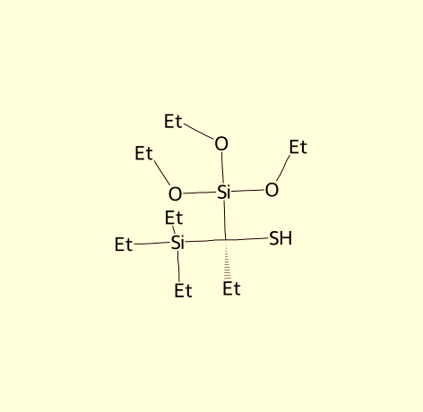 CCO[Si](OCC)(OCC)[C@](S)(CC)[Si](CC)(CC)CC